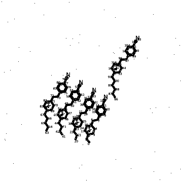 CCC12CCC(CCc3ccc(C#N)cc3)(CC1)CC2.CCCC12CCC(CCc3ccc(C#N)cc3)(CC1)CC2.CCCCC12CCC(CCc3ccc(C#N)cc3)(CC1)CC2.CCCCCC12CCC(CCc3ccc(C#N)cc3)(CC1)CC2.CCCCCCC12CCC(CCc3ccc(C#N)cc3)(CC1)CC2